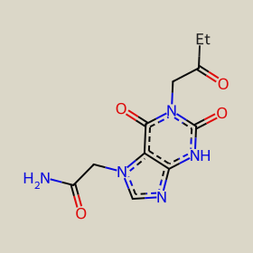 CCC(=O)Cn1c(=O)[nH]c2ncn(CC(N)=O)c2c1=O